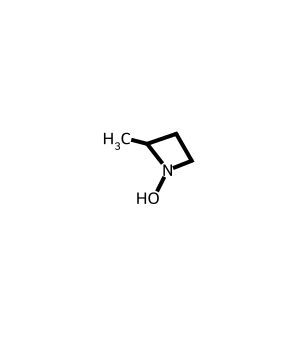 CC1CCN1O